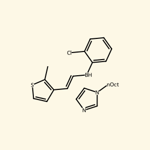 CCCCCCCCn1ccnc1.Cc1sccc1C=CBc1ccccc1Cl